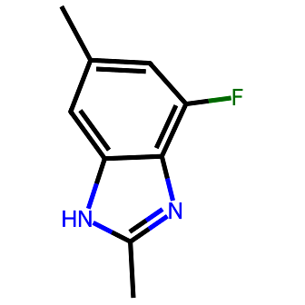 Cc1cc(F)c2nc(C)[nH]c2c1